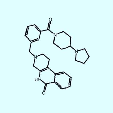 O=C(c1cccc(CN2CCc3c([nH]c(=O)c4ccccc34)C2)c1)N1CCC(N2CCCC2)CC1